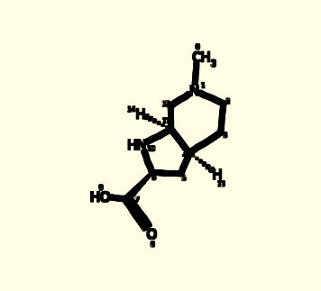 CN1CC[C@H]2C[C@@H](C(=O)O)N[C@H]2C1